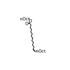 CCCCCCCC/C=C\CCCCCCCCCCCC(=O)OCCCCCCCC